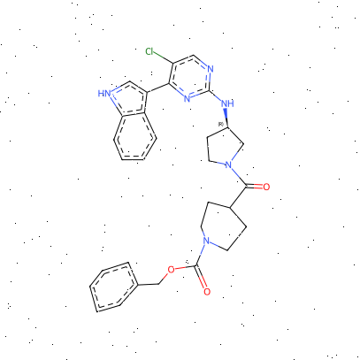 O=C(OCc1ccccc1)N1CCC(C(=O)N2CC[C@@H](Nc3ncc(Cl)c(-c4c[nH]c5ccccc45)n3)C2)CC1